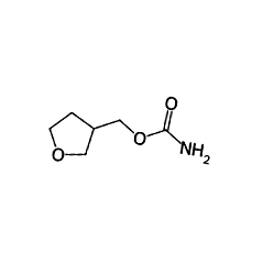 NC(=O)OCC1CCOC1